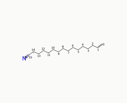 C=CCCCCCCCCCCCC[CH]C#N